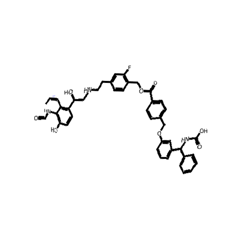 C/C=C\c1c(C(O)CNCCc2ccc(COC(=O)c3ccc(COc4cccc(C(NC(=O)O)c5ccccc5)c4)cc3)c(F)c2)ccc(O)c1NC=O